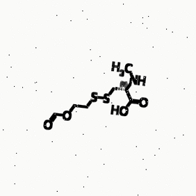 CN[C@@H](CSSCCOC=O)C(=O)O